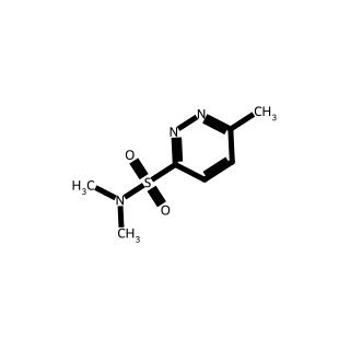 Cc1ccc(S(=O)(=O)N(C)C)nn1